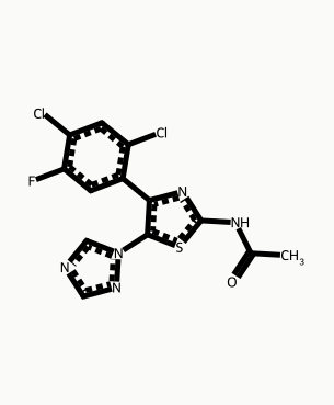 CC(=O)Nc1nc(-c2cc(F)c(Cl)cc2Cl)c(-n2cncn2)s1